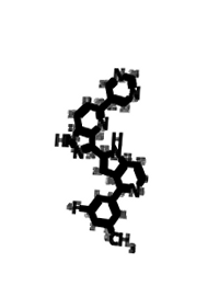 Cc1cc(F)cc(-c2nccc3[nH]c(-c4n[nH]c5ccc(-c6cncnc6)nc45)cc23)c1